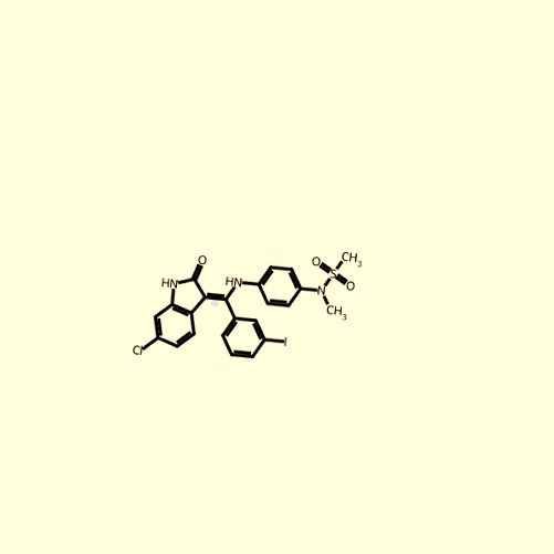 CN(c1ccc(N/C(=C2\C(=O)Nc3cc(Cl)ccc32)c2cccc(I)c2)cc1)S(C)(=O)=O